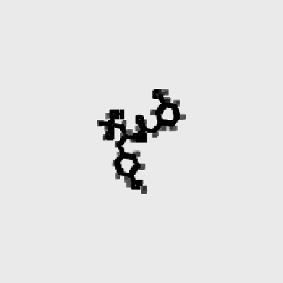 CP(=O)(O)C[C@H](Cc1ccc(C(F)(F)F)cc1)NC(=O)Cc1cccc(Cl)c1